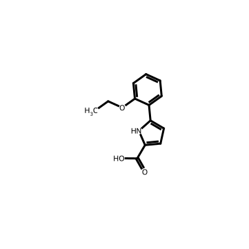 CCOc1ccccc1-c1ccc(C(=O)O)[nH]1